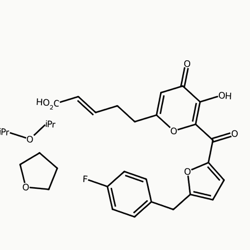 C1CCOC1.CC(C)OC(C)C.O=C(O)C=CCCc1cc(=O)c(O)c(C(=O)c2ccc(Cc3ccc(F)cc3)o2)o1